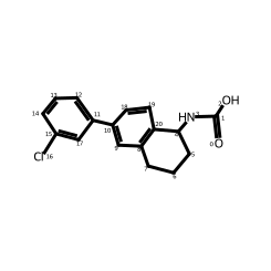 O=C(O)NC1CCCc2cc(-c3cccc(Cl)c3)ccc21